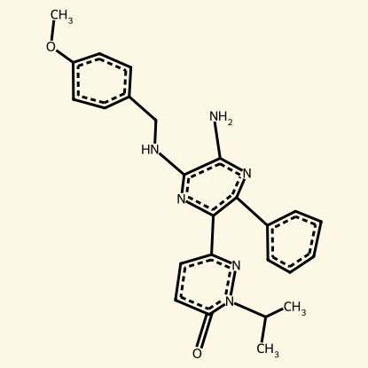 COc1ccc(CNc2nc(-c3ccc(=O)n(C(C)C)n3)c(-c3ccccc3)nc2N)cc1